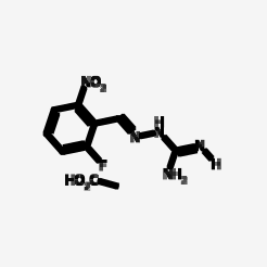 CC(=O)O.[H]/N=C(\N)NN=Cc1c(F)cccc1[N+](=O)[O-]